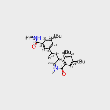 CCC(C)c1cc(C(=O)N(C)C(C)CCC(C)c2cc(C(=O)NC(C)C)cc(C(C)(C)C)c2)cc(C(C)(C)C)c1